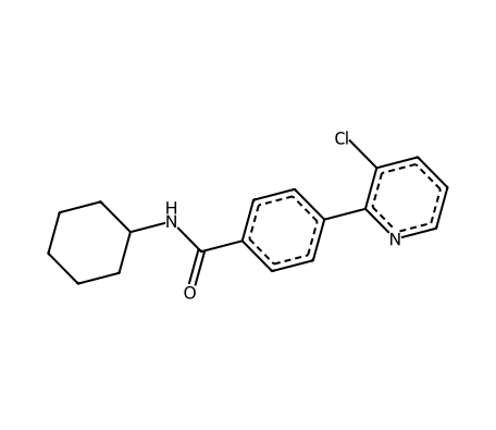 O=C(NC1CCCCC1)c1ccc(-c2ncccc2Cl)cc1